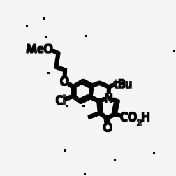 COCCCOc1cc2c(cc1Cl)-c1c(C)c(=O)c(C(=O)O)cn1C(C(C)(C)C)C2